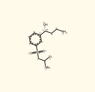 CCCCC(CC)CS(=O)(=O)c1cccc([C@H](O)CCN)c1